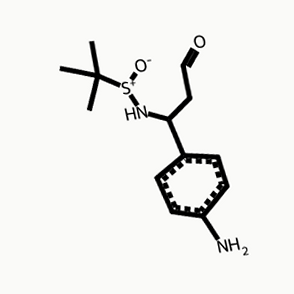 CC(C)(C)[S+]([O-])NC(CC=O)c1ccc(N)cc1